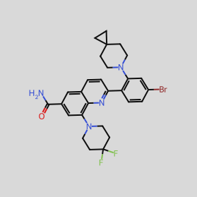 NC(=O)c1cc(N2CCC(F)(F)CC2)c2nc(-c3ccc(Br)cc3N3CCC4(CC3)CC4)ccc2c1